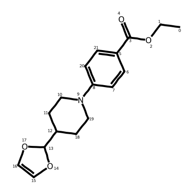 CCOC(=O)c1ccc(N2CCC(C3OC=CO3)CC2)cc1